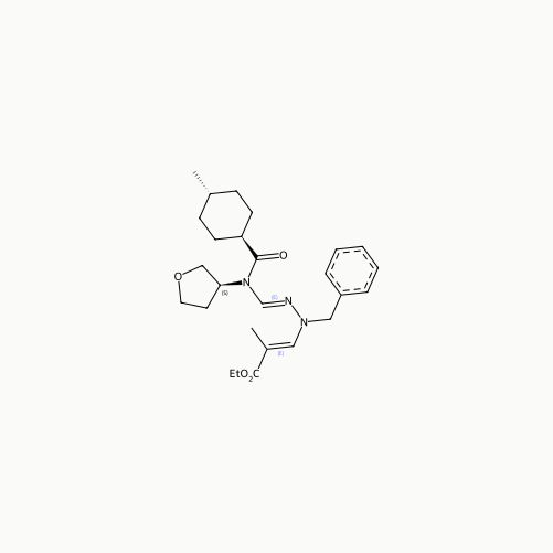 CCOC(=O)/C(C)=C/N(Cc1ccccc1)/N=C/N(C(=O)[C@H]1CC[C@H](C)CC1)[C@H]1CCOC1